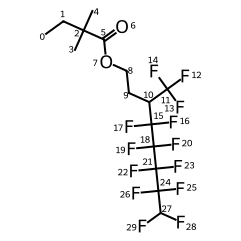 CCC(C)(C)C(=O)OCCC(C(F)(F)F)C(F)(F)C(F)(F)C(F)(F)C(F)(F)C(F)F